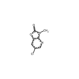 [CH2]n1c(=O)oc2cc(Cl)cnc21